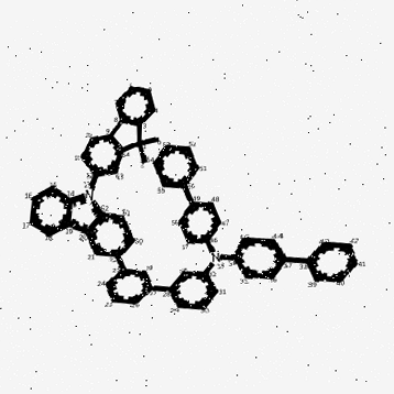 CC1(C)c2ccccc2-c2ccc(-n3c4ccccc4c4cc(-c5cccc(-c6cccc(N(c7ccc(-c8ccccc8)cc7)c7ccc(-c8ccccc8)cc7)c6)c5)ccc43)cc21